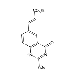 CCCCc1nc(=O)c2cc(C=CC(=O)OCC)ccc2[nH]1